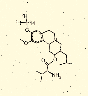 [2H]C([2H])([2H])Oc1cc2c(cc1OC)C1CC(OC(=O)[C@@H](N)C(C)C)C(CC(C)C)CN1CC2